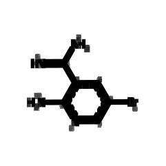 N=C(N)c1cc(Br)cnc1N